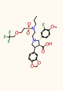 CCCN(CCN1CC(c2ccc3c(c2)OCO3)[C@H](C(=O)O)[C@H]1c1ccc(OC)c(F)c1)S(=O)(=O)CCOCC(F)(F)F